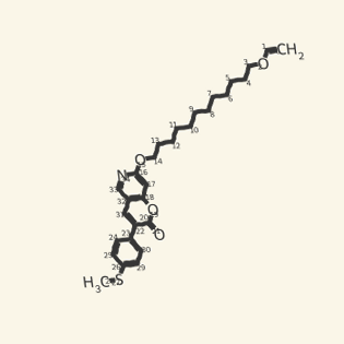 C=COCCCCCCCCCCCCOc1cc2oc(=O)c(-c3ccc(SC)cc3)cc2cn1